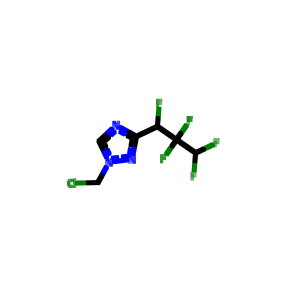 FC(F)C(F)(F)C(F)c1ncn(CCl)n1